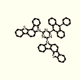 c1ccc(-c2c3ccccc3c(-c3nc(-n4c5ccccc5c5c6sc7ccccc7c6ccc54)nc(-n4c5ccccc5c5c6sc7ccccc7c6ccc54)n3)c3ccccc23)cc1